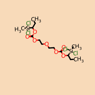 CCC(OC(=O)OCCOCCOC(=O)OC(CC)[Si](C)(Cl)Cl)[Si](C)(Cl)Cl